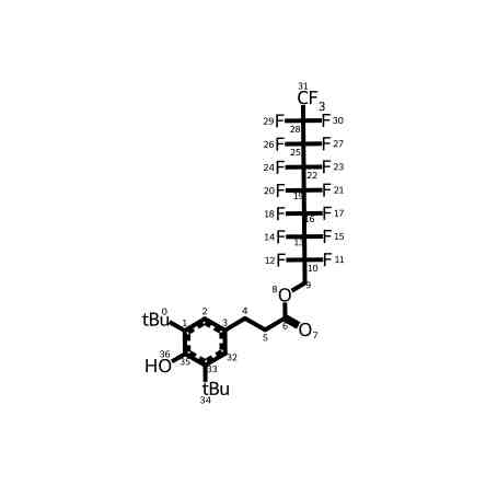 CC(C)(C)c1cc(CCC(=O)OCC(F)(F)C(F)(F)C(F)(F)C(F)(F)C(F)(F)C(F)(F)C(F)(F)C(F)(F)F)cc(C(C)(C)C)c1O